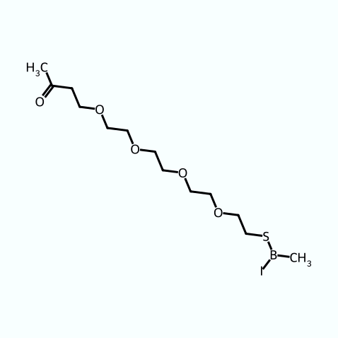 CB(I)SCCOCCOCCOCCOCCC(C)=O